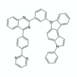 c1ccc(-n2ccc3c4c5ccccc5n(-c5cccc(-c6nc(-c7ccc(-c8ncccn8)cc7)c7ccccc7n6)c5)c4ccc32)cc1